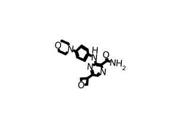 NC(=O)c1ncc(C2COC2)nc1Nc1ccc(N2CCOCC2)cc1